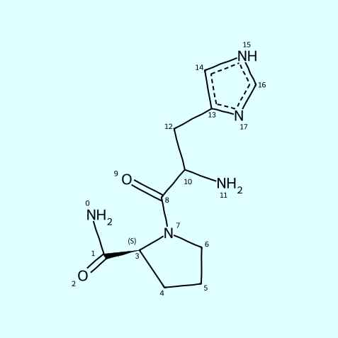 NC(=O)[C@@H]1CCCN1C(=O)C(N)Cc1c[nH]cn1